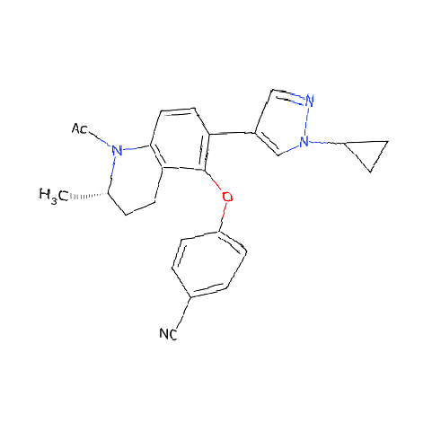 CC(=O)N1c2ccc(-c3cnn(C4CC4)c3)c(Oc3ccc(C#N)cc3)c2CC[C@@H]1C